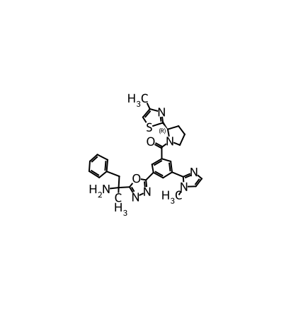 Cc1csc([C@H]2CCCN2C(=O)c2cc(-c3nnc(C(C)(N)Cc4ccccc4)o3)cc(-c3nccn3C)c2)n1